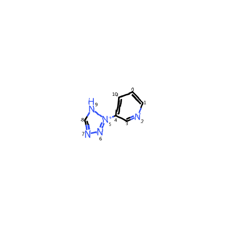 c1cncc(-[n+]2nnc[nH]2)c1